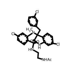 CC(=O)NCCNC(=O)c1ccc(Cl)cc1N(C)C1(Cc2cccc(Cl)c2)C(=O)Nc2cc(Cl)ccc21